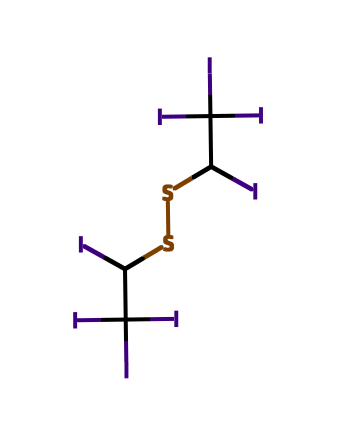 IC(SSC(I)C(I)(I)I)C(I)(I)I